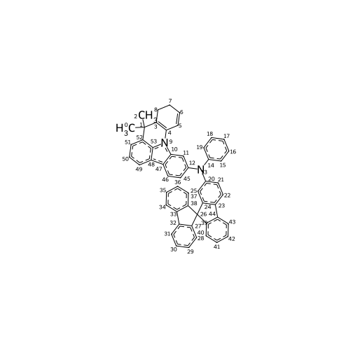 CC1(C)C2=C(C=CCC2)n2c3cc(N(c4ccccc4)c4ccc5c(c4)C4(c6ccccc6-c6ccccc64)c4ccccc4-5)ccc3c3cccc1c32